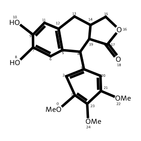 COc1cc(C2c3cc(O)c(O)cc3CC3COC(=O)C32)cc(OC)c1OC